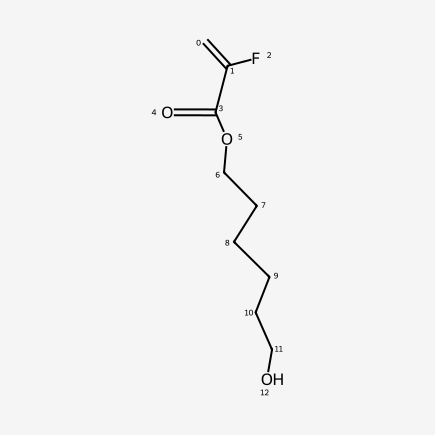 C=C(F)C(=O)OCCCCCCO